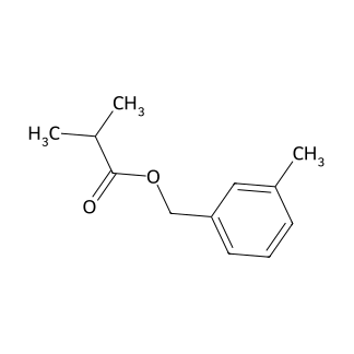 Cc1cccc(COC(=O)C(C)C)c1